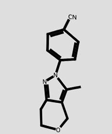 Cc1c2c(nn1-c1ccc(C#N)cc1)CCOC2